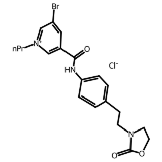 CCC[n+]1cc(Br)cc(C(=O)Nc2ccc(CCN3CCOC3=O)cc2)c1.[Cl-]